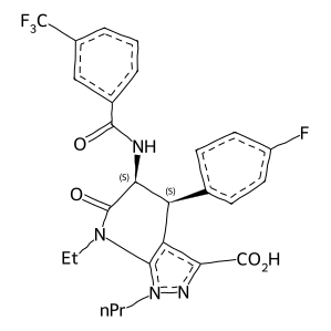 CCCn1nc(C(=O)O)c2c1N(CC)C(=O)[C@@H](NC(=O)c1cccc(C(F)(F)F)c1)[C@H]2c1ccc(F)cc1